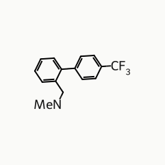 CNCc1ccccc1-c1ccc(C(F)(F)F)cc1